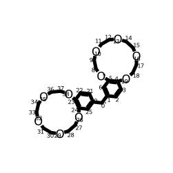 [CH](c1ccc2c(c1)OCCOCCOCCOCCO2)c1ccc2c(c1)OCCOCCOCCOCCO2